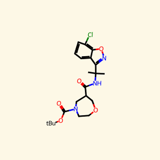 CC(C)(C)OC(=O)N1CCOCC(C(=O)NC(C)(C)c2noc3c(Cl)cccc23)C1